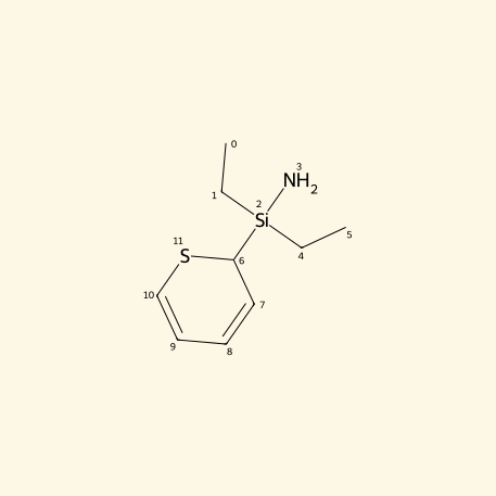 CC[Si](N)(CC)C1C=CC=CS1